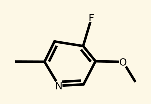 COc1cnc(C)cc1F